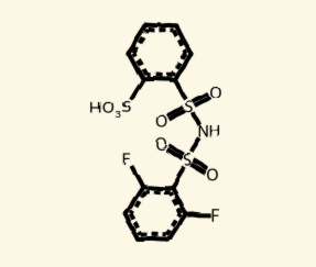 O=S(=O)(O)c1ccccc1S(=O)(=O)NS(=O)(=O)c1c(F)cccc1F